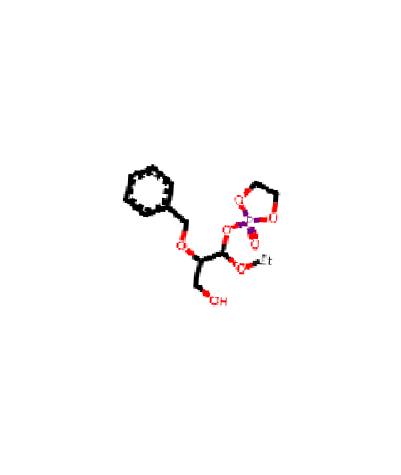 CCOC(OP1(=O)OCCO1)C(CO)OCc1ccccc1